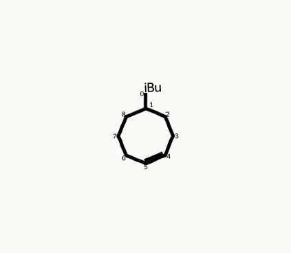 [CH2]CC(C)C1CC/C=C\CCC1